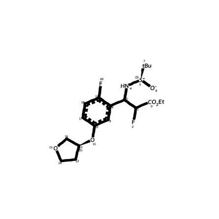 CCOC(=O)C(F)C(N[S@+]([O-])C(C)(C)C)c1cc(O[C@H]2CCOC2)ccc1F